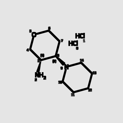 Cl.Cl.N[C@@H]1COCC[C@H]1N1CCCCC1